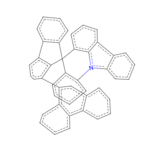 c1ccc2c(c1)-c1cccc(-c3cc4ccccc4c4ccccc34)c1C21c2ccccc2-n2c3ccccc3c3cccc1c32